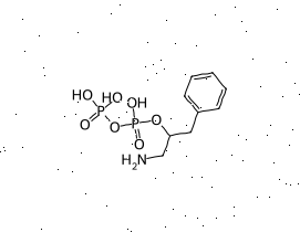 NCC(Cc1ccccc1)OP(=O)(O)OP(=O)(O)O